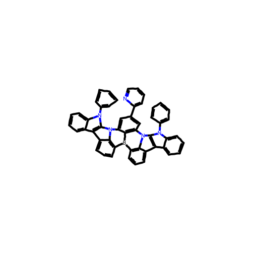 c1ccc(-n2c3ccccc3c3c4cccc5c4n(c32)-c2cc(-c3ccccn3)cc3c2B5c2cccc4c5c6ccccc6n(-c6ccccc6)c5n-3c24)cc1